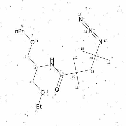 CCCOCC(COCC)NC(=O)C(C)(C)CC(C)(C)N=[N+]=[N-]